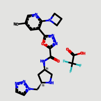 N#Cc1cnc(N2CCC2)c(-c2nnc(C(=O)N[C@H]3CN[C@H](Cn4ccnn4)C3)o2)c1.O=C(O)C(F)(F)F